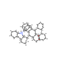 c1ccc(-c2ccccc2-c2c3ccccc3c(-c3cccc4c5ccccc5n(-c5ccccc5)c34)c3ccccc23)cc1